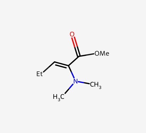 CCC=C(C(=O)OC)N(C)C